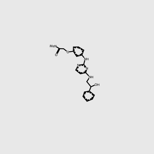 CNC(=O)COc1cccc(Nc2nccc(NCC(O)c3ccccc3)n2)c1